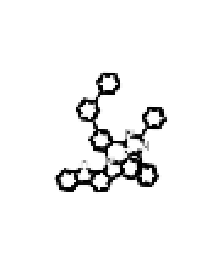 c1ccc(-c2cccc(-c3ccc(-n4c5ccccc5c5ccc6c7ccccc7oc6c54)c(-c4nc(-c5ccccc5)nc(-c5ccccc5)n4)c3)c2)cc1